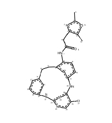 Cc1nc(CC(=O)Nc2ccc3cc2CCc2cccc(c2)Nc2ncc(Cl)c(n2)N3)c(C)s1